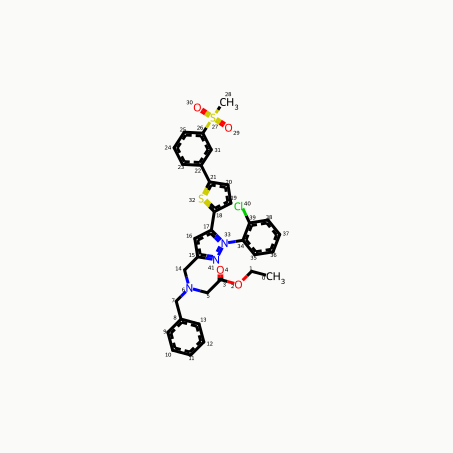 CCOC(=O)CN(Cc1ccccc1)Cc1cc(-c2ccc(-c3cccc(S(C)(=O)=O)c3)s2)n(-c2ccccc2Cl)n1